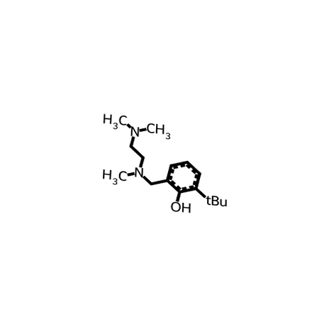 CN(C)CCN(C)Cc1cccc(C(C)(C)C)c1O